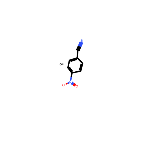 N#Cc1ccc([N+](=O)[O-])cc1.[Se]